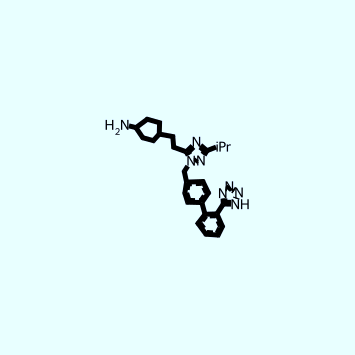 CC(C)c1nc(CCC2CCC(N)CC2)n(Cc2ccc(-c3ccccc3-c3nnn[nH]3)cc2)n1